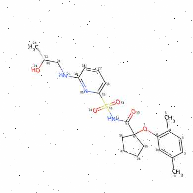 Cc1ccc(C)c(OC2(C(=O)NS(=O)(=O)c3cccc(NC[C@@H](C)O)n3)CCCC2)c1